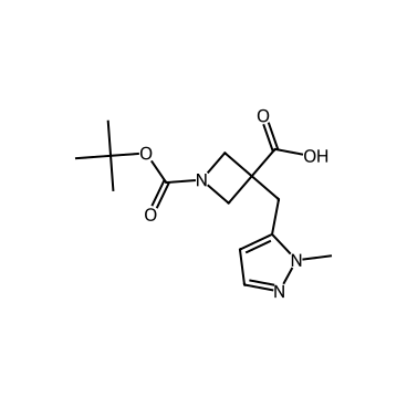 Cn1nccc1CC1(C(=O)O)CN(C(=O)OC(C)(C)C)C1